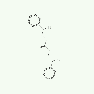 NC(CCC(=O)CCC(N)c1ccccc1)c1ccccc1